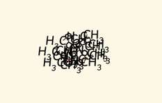 Cc1cccc(C)c1-c1ccc2c(c1)B1c3oc4cc5c(cc4c3N(c3ccc4c(c3)C(C)(C)CCC4(C)C)c3cc(N(c4ccccc4)c4ccccc4)cc(c31)N2c1cc(C(C)(C)C)cc(C(C)(C)C)c1)C(C)(C)CCC5(C)C